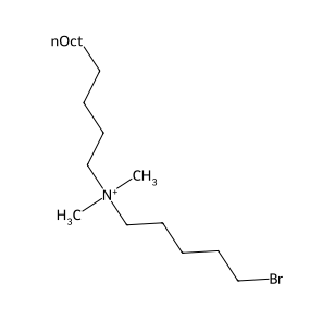 CCCCCCCCCCCC[N+](C)(C)CCCCCBr